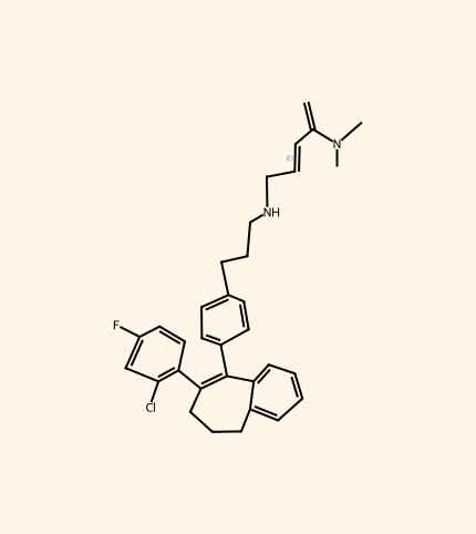 C=C(/C=C/CNCCCc1ccc(C2=C(c3ccc(F)cc3Cl)CCCc3ccccc32)cc1)N(C)C